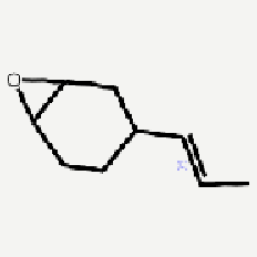 C/C=C/C1CCC2OC2C1